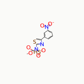 COC(=O)N(c1nc(-c2cccc([N+](=O)[O-])c2)cs1)[SH](=O)=O